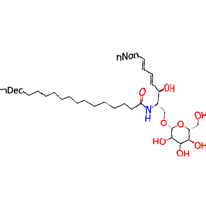 CCCCCCCCC/C=C/C=C/[C@@H](O)[C@H](CO[C@@H]1O[C@H](CO)[C@@H](O)C(O)C1O)NC(=O)CCCCCCCCCCCCCCCCCCCCCCC